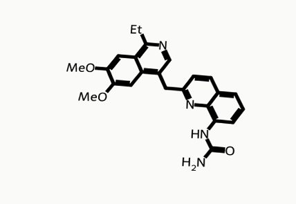 CCc1ncc(Cc2ccc3cccc(NC(N)=O)c3n2)c2cc(OC)c(OC)cc12